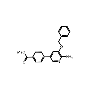 COC(=O)c1ccc(-c2cnc(N)c(OCc3ccccc3)c2)cc1